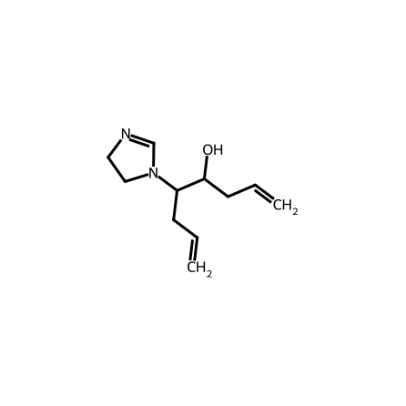 C=CCC(O)C(CC=C)N1C=NCC1